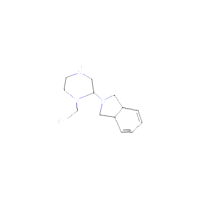 CCN1CCNCC1N1CC2C=CC=CC2C1